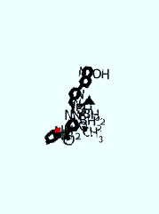 BC(B)(B)n1c(-c2cc3ccc(-c4ccc5c(O)ccnc5c4)nc3n2CC2CC2)nc2cc(C(=O)N3CC4CCC3[C@@H]4N)cc(OC)c21